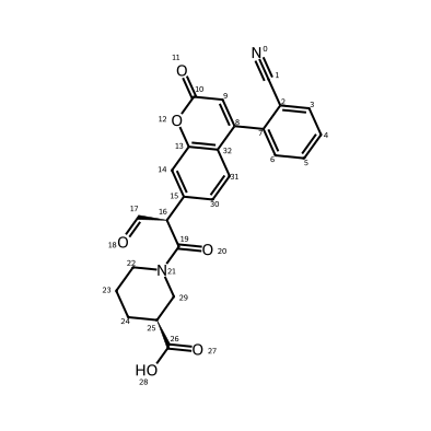 N#Cc1ccccc1-c1cc(=O)oc2cc([C@H](C=O)C(=O)N3CCC[C@H](C(=O)O)C3)ccc12